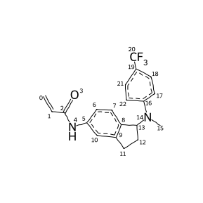 C=CC(=O)Nc1ccc2c(c1)CCC2N(C)c1ccc(C(F)(F)F)cc1